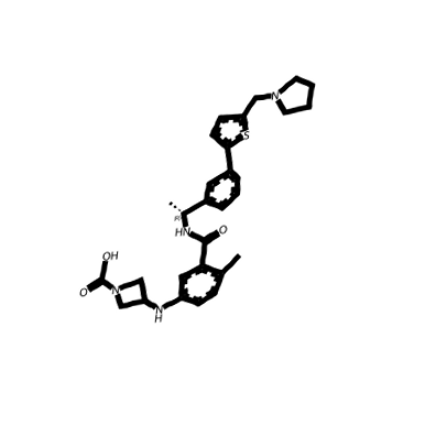 Cc1ccc(NC2CN(C(=O)O)C2)cc1C(=O)N[C@H](C)c1cccc(-c2ccc(CN3CCCC3)s2)c1